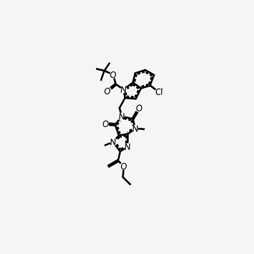 C=C(OCC)c1nc2c(c(=O)n(Cc3cc4c(Cl)cccc4n3C(=O)OC(C)(C)C)c(=O)n2C)n1C